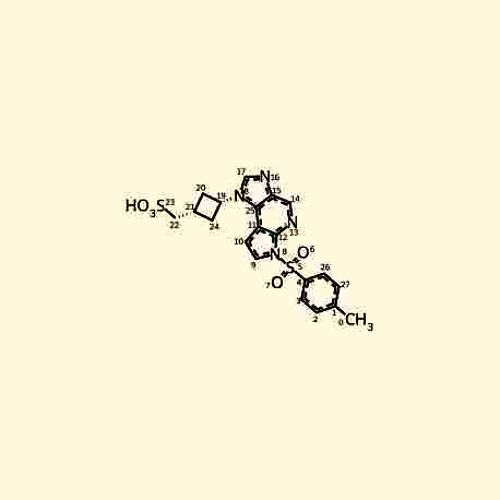 Cc1ccc(S(=O)(=O)n2ccc3c2ncc2ncn([C@H]4C[C@@H](CS(=O)(=O)O)C4)c23)cc1